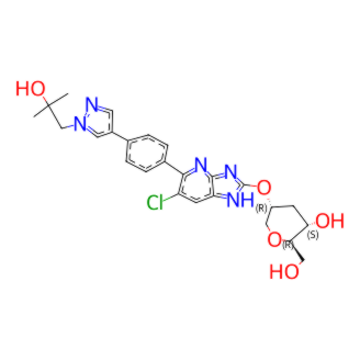 CC(C)(O)Cn1cc(-c2ccc(-c3nc4nc(O[C@H]5CO[C@H](CO)[C@@H](O)C5)[nH]c4cc3Cl)cc2)cn1